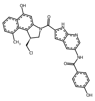 Cc1cccc2c(O)cc3c(c12)[C@H](CCl)CN3C(=O)c1cc2cc(NC(=O)c3ccc(O)cc3)cnc2[nH]1